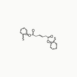 O=C(C/C=C/CC(=O)On1ccccc1=S)On1ccccc1=S